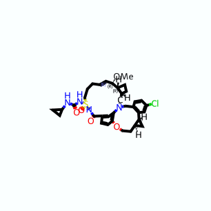 CO[C@H]1/C=C/CCCS(=O)(NC(=O)NC2CC2)=NC(=O)c2ccc3c(c2)N(Cc2ccc(Cl)cc2[C@H]2C[C@H]2CCO3)C[C@@H]2CC[C@H]21